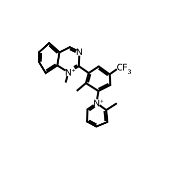 Cc1c(-c2ncc3ccccc3[n+]2C)cc(C(F)(F)F)cc1-[n+]1ccccc1C